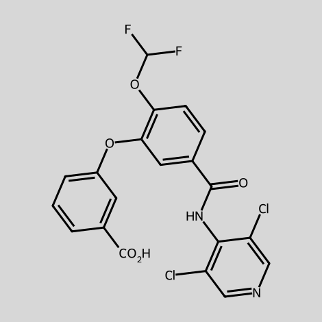 O=C(O)c1cccc(Oc2cc(C(=O)Nc3c(Cl)cncc3Cl)ccc2OC(F)F)c1